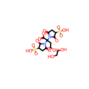 O=C(O)CC(C(=O)O)(N1C(=O)CC(S(=O)(=O)O)C1=O)N1C(=O)CC(S(=O)(=O)O)C1=O.OCCO